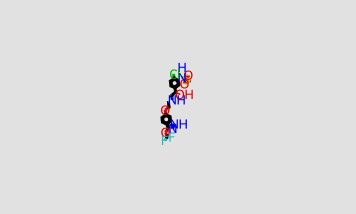 CS(=O)(=O)Nc1cc([C@@H](O)CNCCOc2ccc3c(OC(F)F)n[nH]c3c2)ccc1Cl